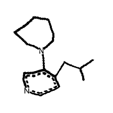 CC(C)Cc1ccncc1N1CCCCC1